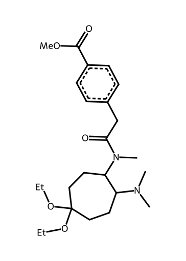 CCOC1(OCC)CCC(N(C)C)C(N(C)C(=O)Cc2ccc(C(=O)OC)cc2)CC1